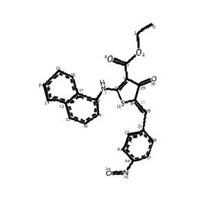 CCOC(=O)C1=C(Nc2cccc3ccccc23)S/C(=C\c2ccc(N=O)cc2)C1=O